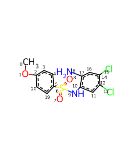 COc1ccc(S(=O)(=O)Nc2cc(Cl)c(Cl)cc2N)cc1